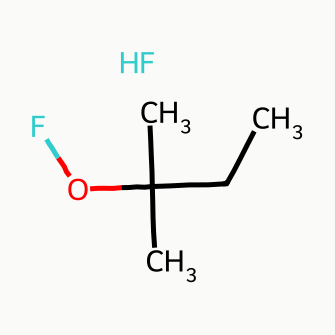 CCC(C)(C)OF.F